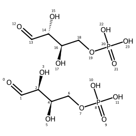 O=C[C@@H](O)[C@H](O)COP(=O)(O)O.O=C[C@H](O)[C@H](O)COP(=O)(O)O